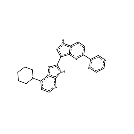 c1cnc(-c2ccc3[nH]nc(-c4nc5c(N6CCCCC6)ccnc5[nH]4)c3n2)cn1